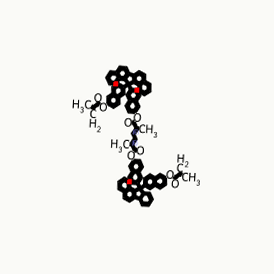 C=C(C)C(=O)Oc1ccc2cc(C3(c4ccc5cc(OC(=O)/C(C)=C/C=C(\C)C(=O)Oc6ccc7cc(C8(c9ccc%10cc(OC(=O)C(=C)C)ccc%10c9)c9c(ccc%10ccccc9%10)C9C=CC=CC98)ccc7c6)ccc5c4)c4c(ccc5ccccc45)-c4ccc5ccccc5c43)ccc2c1